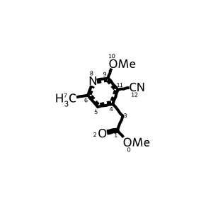 COC(=O)Cc1cc(C)nc(OC)c1C#N